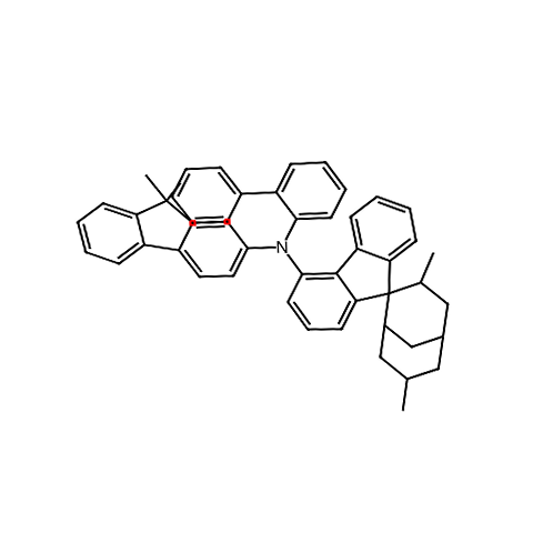 CC1CC2CC(C)C3(c4ccccc4-c4c(N(c5ccc6c(c5)C(C)(C)c5ccccc5-6)c5ccccc5-c5ccccc5)cccc43)C(C1)C2